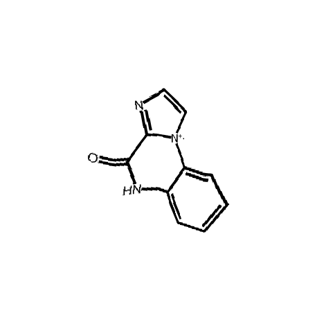 O=C1Nc2ccccc2[N+]2C=CN=C12